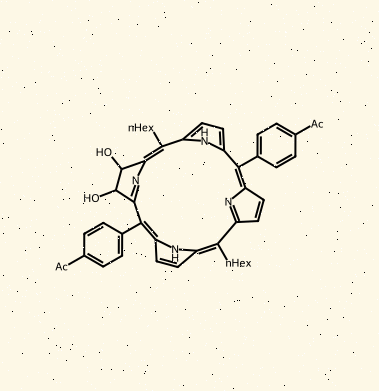 CCCCCCc1c2nc(c(-c3ccc(C(C)=O)cc3)c3ccc([nH]3)c(CCCCCC)c3nc(c(-c4ccc(C(C)=O)cc4)c4ccc1[nH]4)C(O)C3O)C=C2